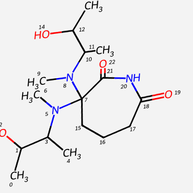 CC(O)C(C)N(C)C1(N(C)C(C)C(C)O)CCCC(=O)NC1=O